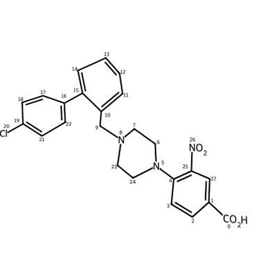 O=C(O)c1ccc(N2CCN(Cc3ccccc3-c3ccc(Cl)cc3)CC2)c([N+](=O)[O-])c1